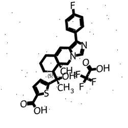 C[C@]12Cn3cnc(-c4ccc(F)cc4)c3C=C1CCC[C@@H]2[C@](C)(O)c1ccc(C(=O)O)s1.O=C(O)C(F)(F)F